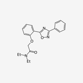 CCN(CC)C(=O)COc1ccccc1-c1nc(-c2ccccc2)no1